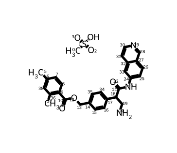 CS(=O)(=O)O.Cc1ccc(C(=O)OCc2ccc(C(CN)C(=O)Nc3ccc4cnccc4c3)cc2)c(C)c1